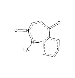 Cn1c2ccccc2c(=O)cc[n+]1=O